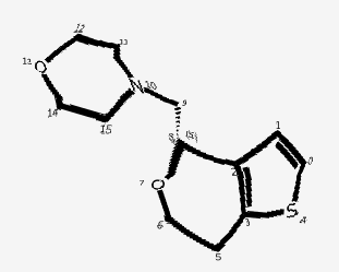 c1cc2c(s1)CCO[C@@H]2CN1CCOCC1